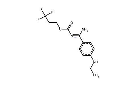 CCNc1ccc(/C(N)=N/C(=O)OCCC(F)(F)F)cc1